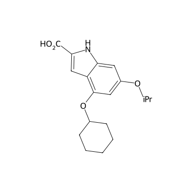 CC(C)Oc1cc(OC2CCCCC2)c2cc(C(=O)O)[nH]c2c1